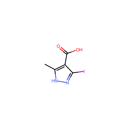 Cc1[nH]nc(I)c1C(=O)O